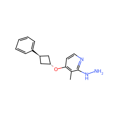 Cc1c(O[C@H]2C[C@H](c3ccccc3)C2)ccnc1NN